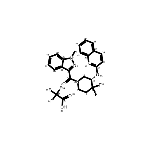 Cn1nc(C(=O)N2CCC(F)(F)[C@@H](Oc3ccc4ccccc4n3)C2)c2ccccc21.O=C(O)C(F)(F)F